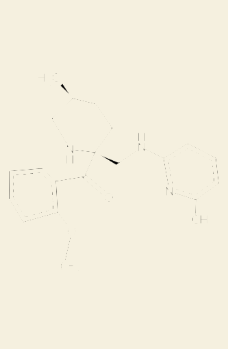 Cc1cccc(NC[C@]2(C(=O)c3ccccc3OC(F)(F)F)CC[C@H](C)CN2)n1